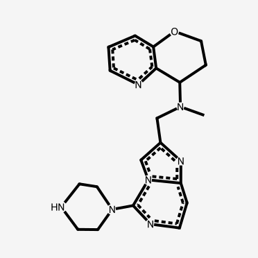 CN(Cc1cn2c(N3CCNCC3)nccc2n1)C1CCOc2cccnc21